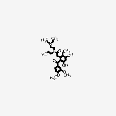 CCc1c(O)cc(O)c(C(=O)c2ccc(OC)c(OC)c2)c1CC(=O)N(CCO)CCN(CC)CC